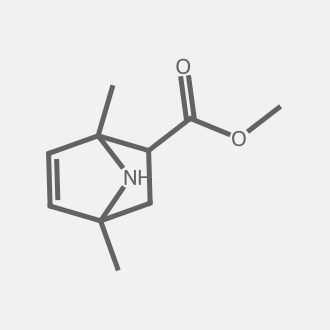 COC(=O)C1CC2(C)C=CC1(C)N2